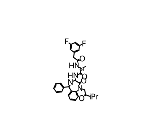 CC(C)C(=O)CN1C(=O)C(NC(=O)[C@H](C)NC(=O)Cc2cc(F)cc(F)c2)N=C(c2ccccc2)c2ccccc21